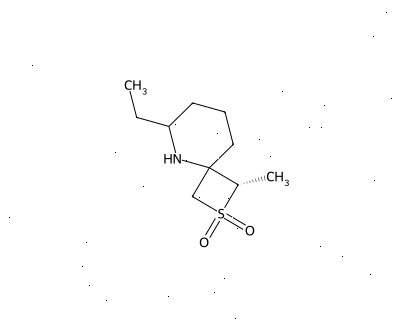 CCC1CCCC2(CS(=O)(=O)[C@H]2C)N1